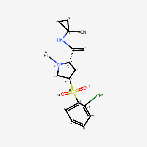 C=C(NC1(C#N)CC1)[C@@H]1C[C@@H](S(=O)(=O)c2ccccc2Cl)CN1CC